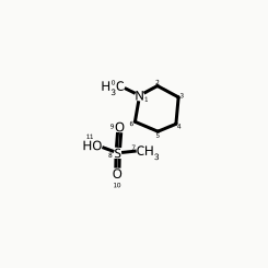 CN1CCCCC1.CS(=O)(=O)O